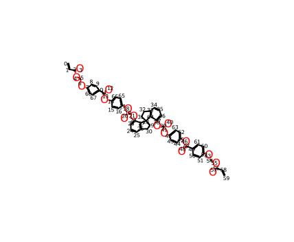 C=CC(=O)OCOc1ccc(C(=O)Oc2ccc(OC(=O)Oc3cccc4c3C3(CC4)CCc4cccc(OC(=O)Oc5ccc(OC(=O)c6ccc(OCOC(=O)C=C)cc6)cc5)c43)cc2)cc1